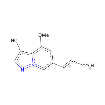 COc1cc(/C=C/C(=O)O)cn2ncc(C#N)c12